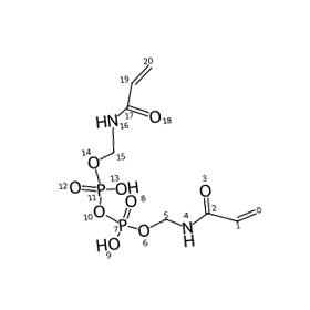 C=CC(=O)NCOP(=O)(O)OP(=O)(O)OCNC(=O)C=C